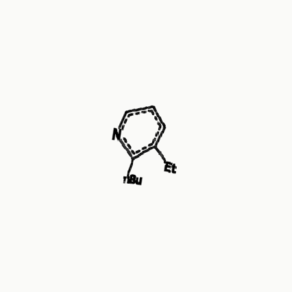 CCCCc1ncccc1CC